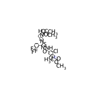 CCOC(=O)/C(C)=C/c1c(Cl)cc(C(=O)Nc2nc(-c3cccc(C(F)(F)F)c3)c(N3CC4CCN(C(=O)OC(C)(C)C)C4C3)s2)cc1Cl